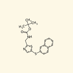 CC(C)(C)OC(=O)NCc1ncc(Sc2ccc3ccccc3c2)s1